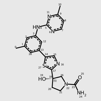 Cc1cc(Nc2nccc(C)n2)cc(-c2cnc([C@]3(O)CCN(C(N)=O)C3)s2)c1